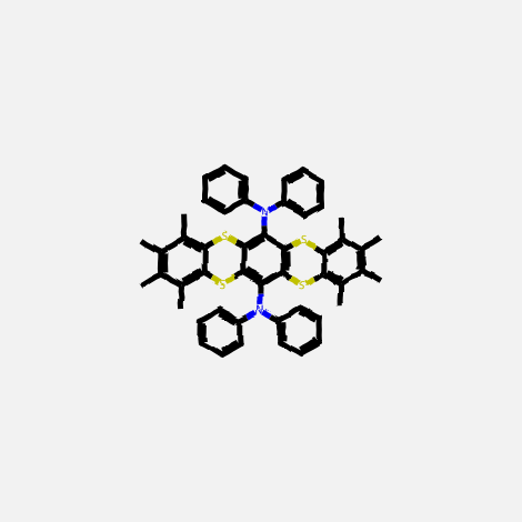 Cc1c(C)c(C)c2sc3c(N(c4ccccc4)c4ccccc4)c4sc5c(C)c(C)c(C)c(C)c5sc4c(N(c4ccccc4)c4ccccc4)c3sc2c1C